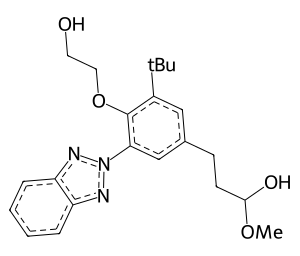 COC(O)CCc1cc(-n2nc3ccccc3n2)c(OCCO)c(C(C)(C)C)c1